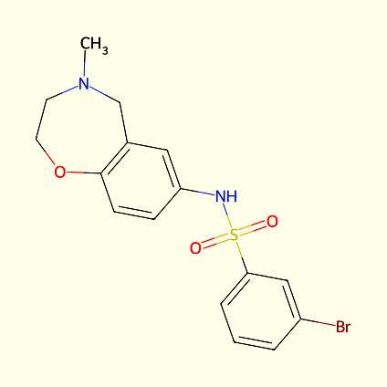 CN1CCOc2ccc(NS(=O)(=O)c3cccc(Br)c3)cc2C1